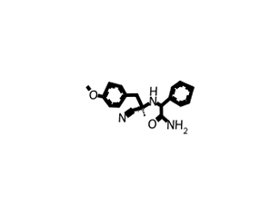 COc1ccc(C[C@](C)(C#N)NC(C(N)=O)c2ccccc2)cc1